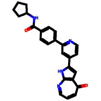 O=C(NC1CCCC1)c1ccc(-c2cc(-c3cc4c(=O)cccnc4[nH]3)ccn2)cc1